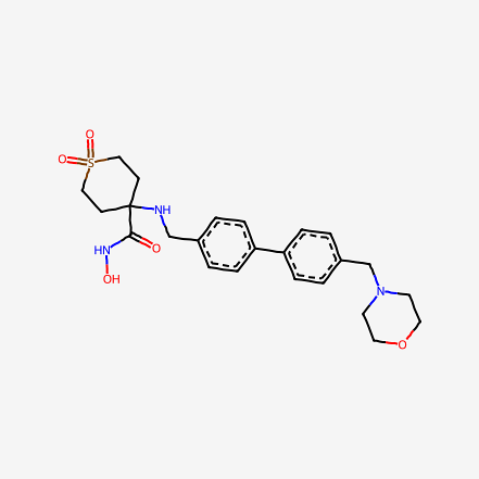 O=C(NO)C1(NCc2ccc(-c3ccc(CN4CCOCC4)cc3)cc2)CCS(=O)(=O)CC1